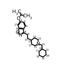 CC(C)Oc1ccc2c(CCC3CCN(CC4CCCCC4)CC3)noc2c1